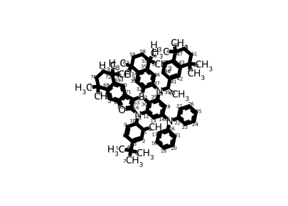 CC1C=C(C(C)(C)C)C=CC1N1c2cc(N(c3ccccc3)c3ccccc3)cc3c2B(c2cc4c(cc2N3[C@@H](C)C2=CC3=C(CC2)C(C)(C)CCC3(C)C)C(C)(C)CCC4(C)C)c2c1oc1cc3c(cc21)C(C)(C)CCC3(C)C